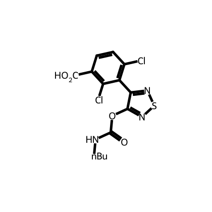 CCCCNC(=O)Oc1nsnc1-c1c(Cl)ccc(C(=O)O)c1Cl